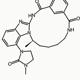 C[C@@H]1CCCCNC(=O)c2cccc(c2)C(=O)Nc2nc3cccc(N4CCN(C)C4=O)c3n21